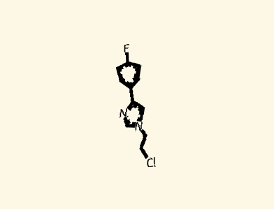 Fc1ccc(-c2cn(CCCl)cn2)cc1